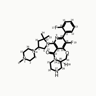 CN1CCN(C2CN(c3nc(-c4ccccc4F)c(F)c4c3C(=O)N3CCNC[C@@H]3CO4)C(C)(C)C2)CC1